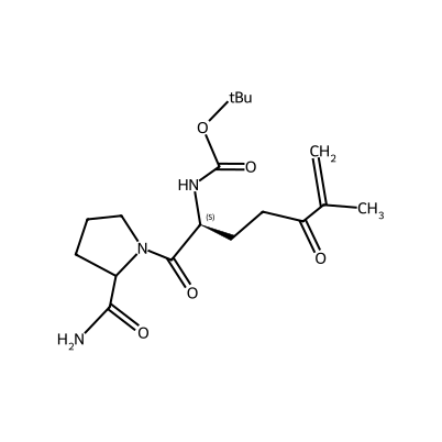 C=C(C)C(=O)CC[C@H](NC(=O)OC(C)(C)C)C(=O)N1CCCC1C(N)=O